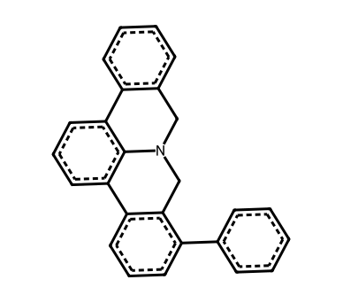 c1ccc(-c2cccc3c2CN2Cc4ccccc4-c4cccc-3c42)cc1